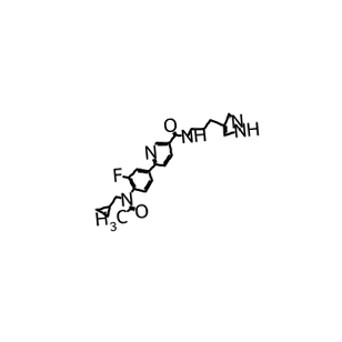 CC(=O)N(CC1CC1)c1ccc(-c2ccc(C(=O)NCCCc3cn[nH]c3)cn2)cc1F